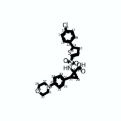 O=C(O)C1(NS(=O)(=O)C2=CCC(c3ccc(Cl)cc3)S2)CC1c1ccc(N2CCOCC2)cc1